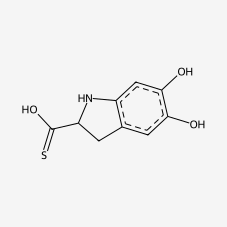 OC(=S)C1Cc2cc(O)c(O)cc2N1